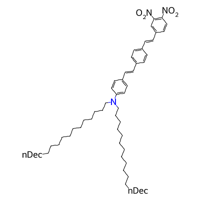 CCCCCCCCCCCCCCCCCCCCCCN(CCCCCCCCCCCCCCCCCCCCCC)c1ccc(/C=C/c2ccc(/C=C/c3ccc([N+](=O)[O-])c([N+](=O)[O-])c3)cc2)cc1